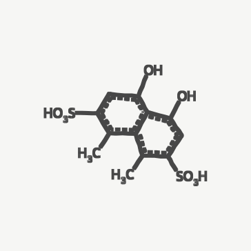 Cc1c(S(=O)(=O)O)cc(O)c2c(O)cc(S(=O)(=O)O)c(C)c12